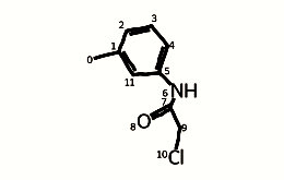 Cc1cccc(NC(=O)CCl)c1